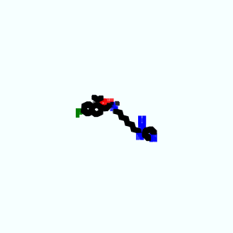 CC(C)[C@H]1c2ccc(F)cc2CC[C@]1(O)CCN(C)CCCCCCCc1nc2cnccc2[nH]1